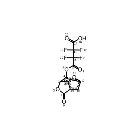 O=C1Oc2c(OC(=O)C(F)(F)C(F)(F)C(=O)O)c3cc1c2o3